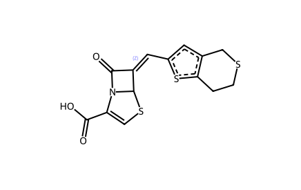 O=C(O)C1=CSC2/C(=C\c3cc4c(s3)CCSC4)C(=O)N12